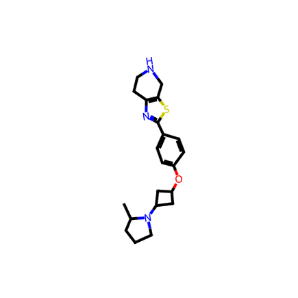 CC1CCCN1C1CC(Oc2ccc(-c3nc4c(s3)CNCC4)cc2)C1